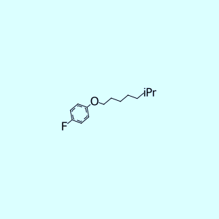 CC(C)CCCCCOc1ccc(F)cc1